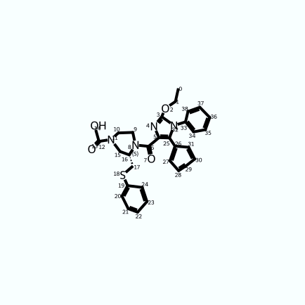 CCOc1nc(C(=O)N2CCN(C(=O)O)C[C@H]2CSc2ccccc2)c(-c2ccccc2)n1-c1ccccc1